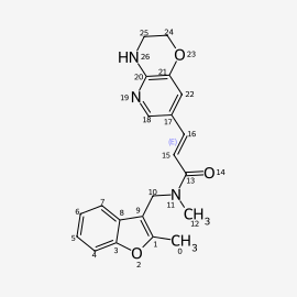 Cc1oc2ccccc2c1CN(C)C(=O)/C=C/c1cnc2c(c1)OCCN2